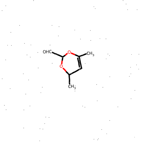 CC1=CC(C)OC(C=O)O1